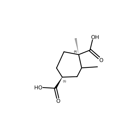 CC1C[C@@H](C(=O)O)CC[C@@]1(C)C(=O)O